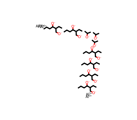 CC(C)[O-].CC(C)[O-].CC(C)[O-].CCCC([O-])C(CC)C[O-].CCCC([O-])C(CC)C[O-].CCCC([O-])C(CC)C[O-].CCCC([O-])C(CC)C[O-].CCCC([O-])C(CC)C[O-].CCCC([O-])C(CC)C[O-].[Al+3].[Al+3].[Al+3].[Al+3].[Al+3]